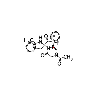 CC(=O)NC(Cc1ccccc1)(C(=O)C(F)(F)F)N1C(=O)CN(C(C)=O)C=C1c1ccccc1